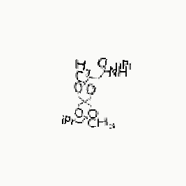 CCCNC(=O)CCC1(C)OCC2(CO1)COC(C)(CC(C)C)OC2